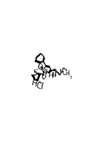 CNCc1cc(-c2ccccc2)n(S(=O)(=O)c2cccs2)c1.Cl